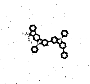 CC1(C)C2=Cc3c(c4cc(-c5ccc6c(c5)c5cc(-c7ccccc7)ccc5n6-c5ccccc5)ccc4n3-c3ccccc3)CC2c2ccccc21